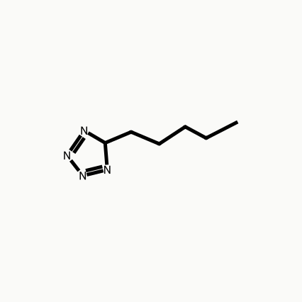 CCCCCC1N=NN=N1